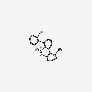 CC(C)c1cccc(C(C)C)c1-c1cccc(-c2c(C(C)C)cccc2C(C)C)c1S